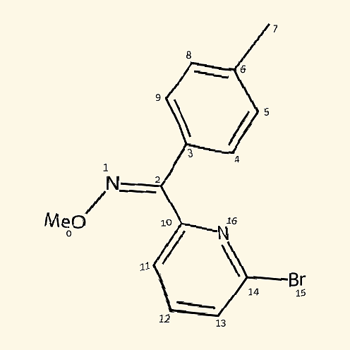 CO/N=C(/c1ccc(C)cc1)c1cccc(Br)n1